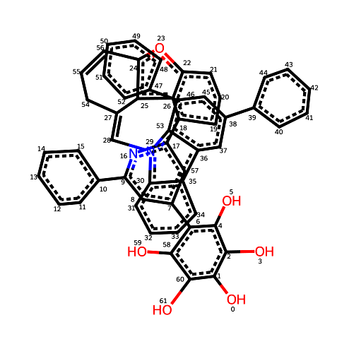 Oc1c(O)c(O)c(-c2cc(-c3ccccc3)nc(-c3cccc4oc5c(c34)/C(=C\n3c4ccccc4c4cc(-c6ccccc6)cc(-c6ccccc6)c43)CC=C5)c2)c(O)c1O